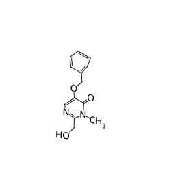 Cn1c(CO)ncc(OCc2ccccc2)c1=O